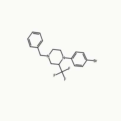 FC(F)(F)C1CN(Cc2ccccc2)CCN1c1ccc(Br)cc1